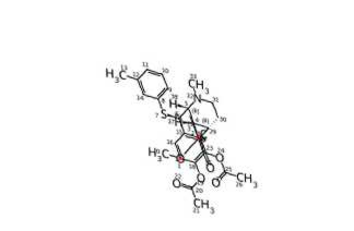 COC1=C[C@@H]2[C@@H]3[C@H](Sc4cccc(C)c4)c4ccc(OC(C)=O)c(OC(C)=O)c4[C@]2(CCN3C)CC1=O